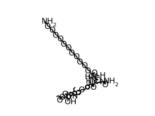 CCC(=O)OCc1c(O)cc2n(c1=O)Cc1c-2nc2ccc(OCc3ccc(NC(=O)[C@H](CCCNC(N)=O)NC(=O)C(NC(=O)CCOCCOCCOCCOCCOCCOCCOCCOCCOCCOCCOCCN)C(C)C)cc3)cc2c1CC